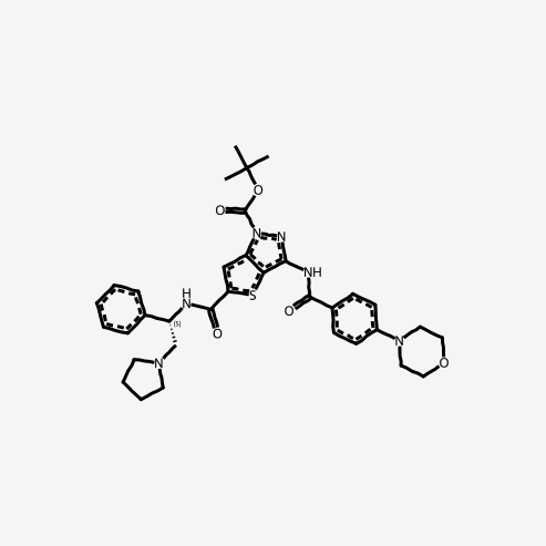 CC(C)(C)OC(=O)n1nc(NC(=O)c2ccc(N3CCOCC3)cc2)c2sc(C(=O)N[C@H](CN3CCCC3)c3ccccc3)cc21